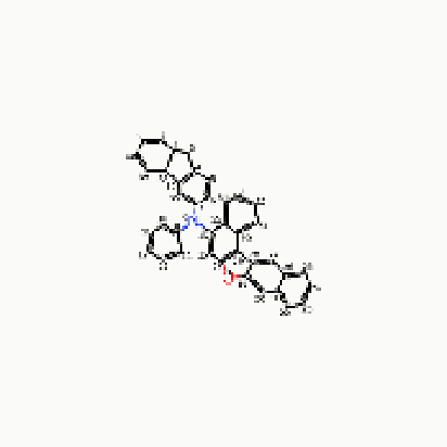 C1=CC2Cc3ccc(N(c4ccccc4)c4cc5oc6cc7ccccc7cc6c5c5ccccc45)cc3C2C=C1